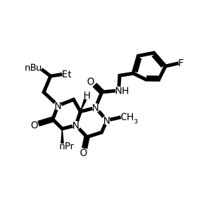 CCCCC(CC)CN1C[C@H]2N(C(=O)CN(C)N2C(=O)NCc2ccc(F)cc2)[C@@H](CCC)C1=O